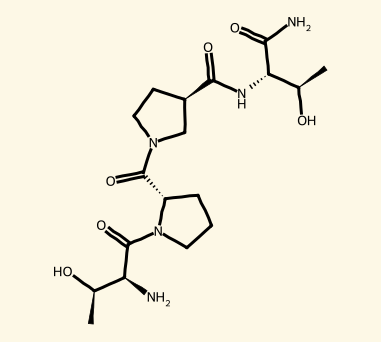 C[C@@H](O)[C@H](N)C(=O)N1CCC[C@H]1C(=O)N1CC[C@@H](C(=O)N[C@H](C(N)=O)[C@@H](C)O)C1